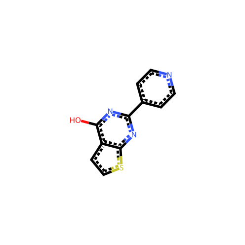 Oc1nc(-c2ccncc2)nc2sccc12